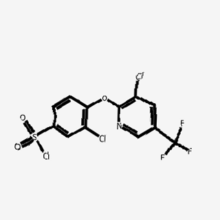 O=S(=O)(Cl)c1ccc(Oc2ncc(C(F)(F)F)cc2Cl)c(Cl)c1